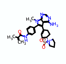 C=C(C)C(=O)Nc1ccc(-c2c(C3=CC[C@@H]([N+]4([SH](=O)=O)CCCC4)CC3)c3c(N)ncnc3n2C)cc1